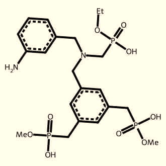 CCOP(=O)(O)CN(Cc1cccc(N)c1)Cc1cc(CP(=O)(O)OC)cc(CP(=O)(O)OC)c1